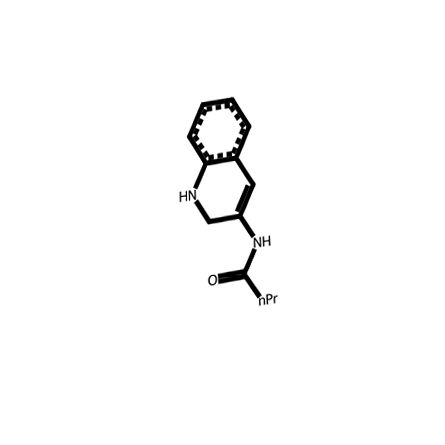 CCCC(=O)NC1=Cc2ccccc2NC1